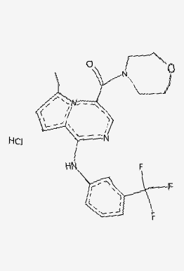 Cc1ccc2c(Nc3cccc(C(F)(F)F)c3)ncc(C(=O)N3CCOCC3)n12.Cl